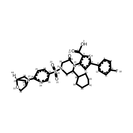 O=C(O)c1sc(-c2ccc(F)cc2)cc1N1C(=O)CN(S(=O)(=O)c2ccc(N3C[C@H]4CC3CO4)nc2)CC1C1CCCCC1